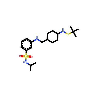 CC(C)NS(=O)(=O)c1cccc(NCC2CCC(NSC(C)(C)C)CC2)c1